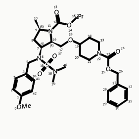 COc1ccc(CN([C@H]2C[C@@H](C)N(C(=O)OC(C)C)[C@H]2COC2CCN(C(=O)OCc3ccccc3)CC2)S(=O)(=O)N(C)C)cc1